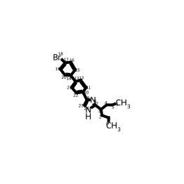 CCCC(CCC)c1nc(-c2ccc(-c3ccc(Br)cc3)cc2)c[nH]1